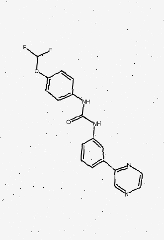 O=C(Nc1ccc(OC(F)F)cc1)Nc1cccc(-c2cnccn2)c1